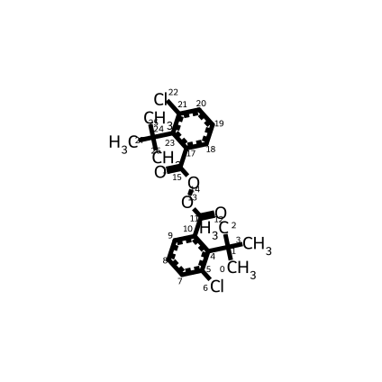 CC(C)(C)c1c(Cl)cccc1C(=O)OOC(=O)c1cccc(Cl)c1C(C)(C)C